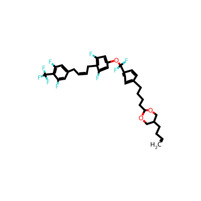 C=CCCC1COC(CCCCc2ccc(C(F)(F)Oc3cc(F)c(C/C=C\Cc4cc(F)c(C(F)(F)F)c(F)c4)c(F)c3)cc2)OC1